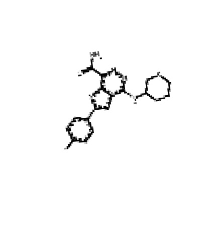 NC(=O)c1nnc(NC2CCCSC2)c2cc(-c3ccc(F)cc3)sc12